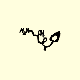 C=C(Cc1ccccc1)C(=O)CC(O)CCN